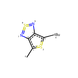 Cc1sc(C(C)(C)C)c2c1N=S=N2